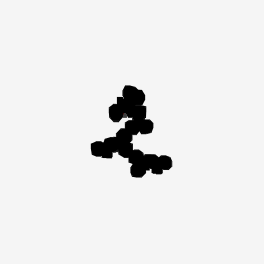 CC1(C)c2ccccc2-c2ccc(-n3c4ccccc4c4cc(-c5ccc6c(c5)c5cc(-c7ccc8c(c7)c7ccccc7n8-c7cccc(-c8nc(-c9ccccc9)nc9c8-c8cccc%10cccc-9c8%10)c7)ccc5n6-c5ccc6c(c5)C(C)(C)c5ccccc5-6)ccc43)cc21